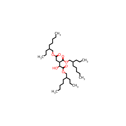 CCCCCC(CCC)COC(=O)CC(C(=O)OCC(CCC)CCCCC)C(O)C(=O)OCC(CCC)CCCCC